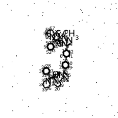 C[C@@H](c1ncc(-c2ccc(-c3ccc(-c4cnc(C5CCCN5C(=O)[C@H](c5ccccc5)N5CCCCC5)[nH]4)cc3)cc2)[nH]1)N(C)C(=O)[C@@H](c1ccccc1)N1CCCCC1